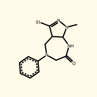 CCC1=NN(C)C2NC(=O)CN(c3ccccc3)CC12